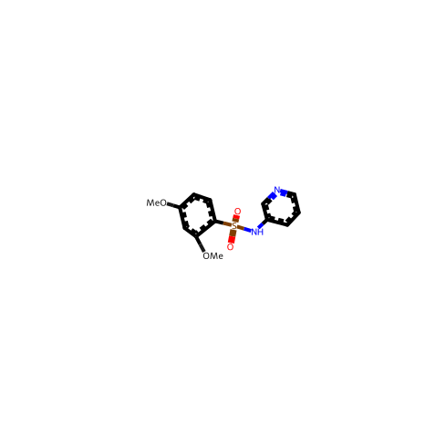 COc1ccc(S(=O)(=O)Nc2cccnc2)c(OC)c1